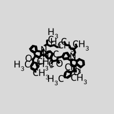 CCCCC(CC)Cn1c2ccc(C(C)C(=O)C(C)c3ccc4c(c3)c3cc(C(=O)c5c(C)cc(C)cc5C)c5ccccc5c3n4CC(CC)CCCC)cc2c2cc(C(=O)c3c(C)cc(C)cc3C)c3ccccc3c21